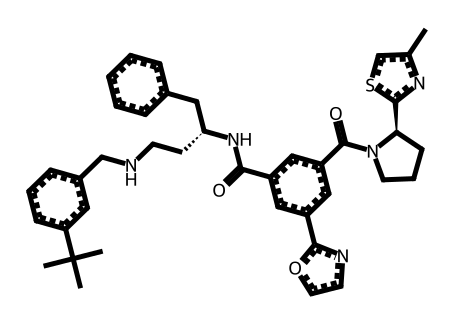 Cc1csc([C@H]2CCCN2C(=O)c2cc(C(=O)N[C@H](CCNCc3cccc(C(C)(C)C)c3)Cc3ccccc3)cc(-c3ncco3)c2)n1